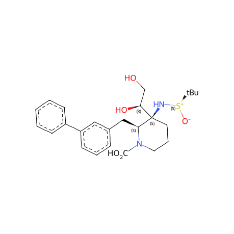 CC(C)(C)[S@@+]([O-])N[C@@]1([C@@H](O)CO)CCCN(C(=O)O)[C@H]1Cc1cccc(-c2ccccc2)c1